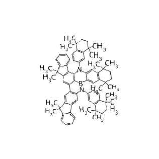 CC1(C)CCC(C)(C)c2cc(N3B4c5cc6c(cc5N(c5ccc7c(c5)C(C)(C)CCC7(C)C)c5c4c(cc4c5-c5ccccc5C4(C)C)-c4cc5c(cc43)-c3ccccc3C5(C)C)C(C)(C)CCC6(C)C)ccc21